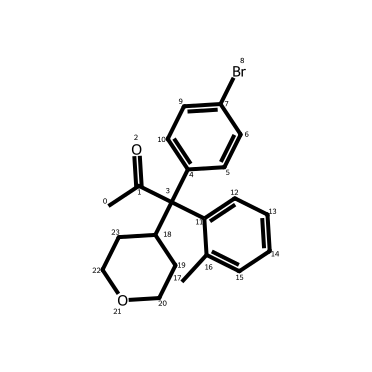 CC(=O)C(c1ccc(Br)cc1)(c1ccccc1C)C1CCOCC1